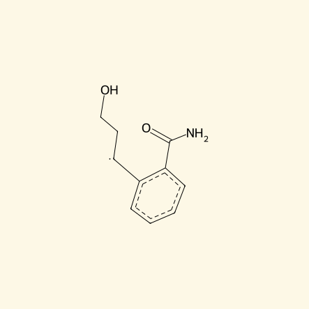 NC(=O)c1ccccc1[CH]CCO